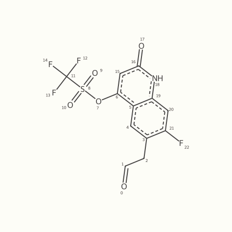 O=CCc1cc2c(OS(=O)(=O)C(F)(F)F)cc(=O)[nH]c2cc1F